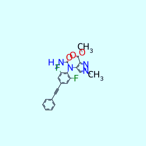 COC(=O)c1nn(C)cc1N(C(N)=O)c1c(F)cc(C#Cc2ccccc2)cc1F